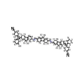 Cc1cccc(N(c2ccc(C#N)cc2)c2ccc3c(c2)C(C)(C)c2cc(/C=C/c4ccc5c(c4)C(C)(C)c4cc(/C=C/c6ccc7c(c6)C(C)(C)c6cc(N(c8ccc(C#N)cc8)c8cccc(C)c8)ccc6-7)ccc4-5)ccc2-3)c1